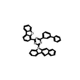 c1ccc(-c2cccc(-c3nc(-c4cccc5c4oc4ccccc45)nc(-n4c5ccccc5c5cc6ccccc6cc54)n3)c2)cc1